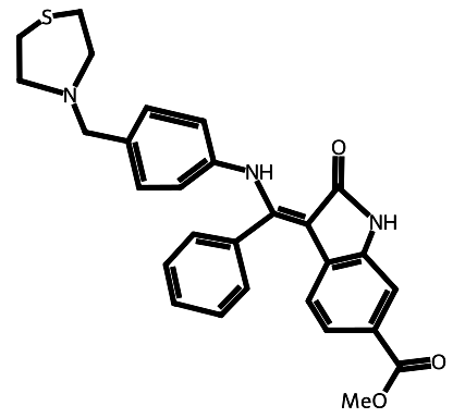 COC(=O)c1ccc2c(c1)NC(=O)/C2=C(\Nc1ccc(CN2CCSCC2)cc1)c1ccccc1